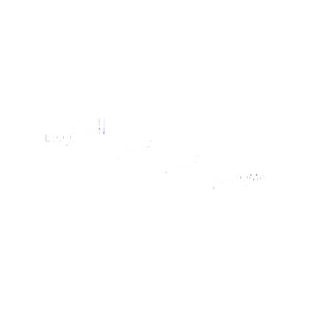 CCOC(=O)NCCCCCOC